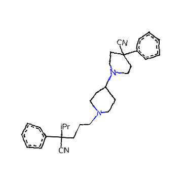 CC(C)C(C#N)(CCCN1CCC(N2CCC(C#N)(c3ccccc3)CC2)CC1)c1ccccc1